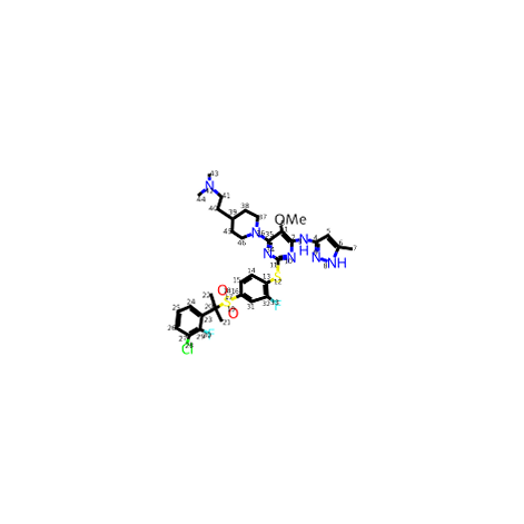 COc1c(Nc2cc(C)[nH]n2)nc(Sc2ccc(S(=O)(=O)C(C)(C)c3cccc(Cl)c3F)cc2F)nc1N1CCC(CCN(C)C)CC1